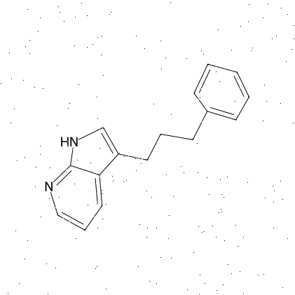 c1ccc(CCCc2c[nH]c3ncccc23)cc1